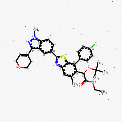 CCOC(=O)[C@@H](OC(C)(C)C)c1c(C)cc2nc(-c3ccc4c(c3)c(C3=CCOCC3)nn4C)sc2c1-c1ccc(Cl)cc1